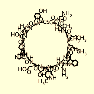 C=C1C=CC(C)NC=C1C[C@@H]1NC(=O)[C@@H]2C[C@@H](O)CN2C(=O)[C@H](CCC(=O)O)NC(=O)[C@H](Cc2cnc[nH]2)NC(=O)[C@@H]2CCCN2C(=O)[C@H](CC(=O)O)NC(=O)[C@H](C)N(C)C(=O)[C@H](Cc2ccc(O)cc2)NC(=O)CSC[C@@H](C(=O)NCC(N)=O)NC(=O)[C@H](C)NC(=O)[C@H](CCCC)N(C)C[C@H](CCCC)N(C)C(=O)[C@H](Cc2c[nH]c3ccccc23)NC(=O)[C@H](CCN)NC1=O